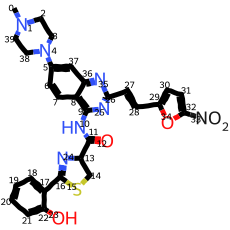 CN1CCN(c2ccc3c(NC(=O)C4CSC(c5ccccc5O)=N4)nc(/C=C/c4ccc([N+](=O)[O-])o4)nc3c2)CC1